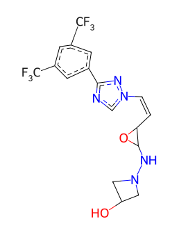 OC1CN(NC2OC2/C=C\n2cnc(-c3cc(C(F)(F)F)cc(C(F)(F)F)c3)n2)C1